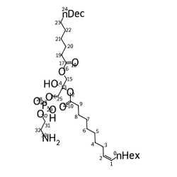 CCCCCC/C=C\CCCCCCCC(=O)O[C@](O)(COC(=O)CCCCCCCCCCCCCCC)COP(=O)(O)OCCN